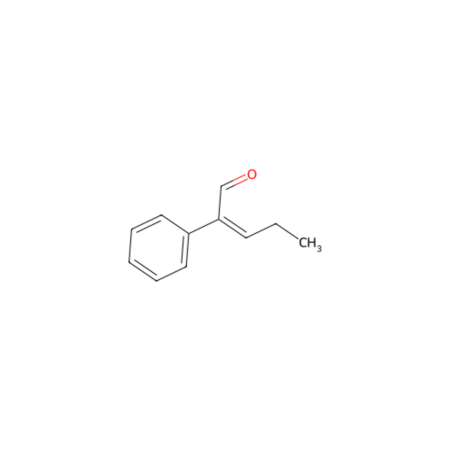 CCC=C(C=O)c1ccccc1